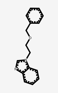 c1ccc(COCCn2cnc3ccccc32)cc1